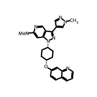 CNc1cc2c(cn1)c(-c1cnn(C)c1)nn2[C@H]1CC[C@@H](Oc2ccc3cccnc3c2)CC1